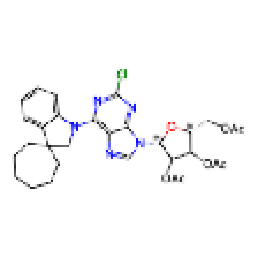 CC(=O)OC[C@H]1O[C@@H](n2cnc3c(N4CC5(CCCCCC5)c5ccccc54)nc(Cl)nc32)C(OC(C)=O)C1OC(C)=O